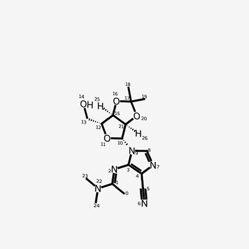 C/C(=N\c1c(C#N)ncn1[C@@H]1O[C@H](CO)[C@H]2OC(C)(C)O[C@H]21)N(C)C